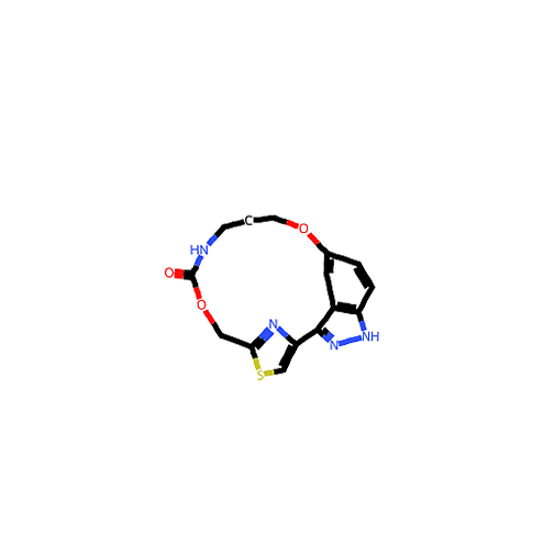 O=C1NCCCOc2ccc3[nH]nc(c3c2)-c2csc(n2)CO1